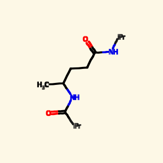 CC(C)NC(=O)CCC(C)NC(=O)C(C)C